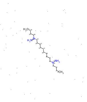 CCCCN(N)CCCCCCCCCCN(N)CCCC